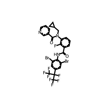 O=C(Nc1c(Br)cc(C(F)(C(F)(F)F)C(F)(F)F)cc1Br)c1cccc(N(CC2CC2)C(=O)c2cccnc2)c1F